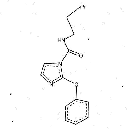 CC(C)CCNC(=O)n1ccnc1Oc1ccccc1